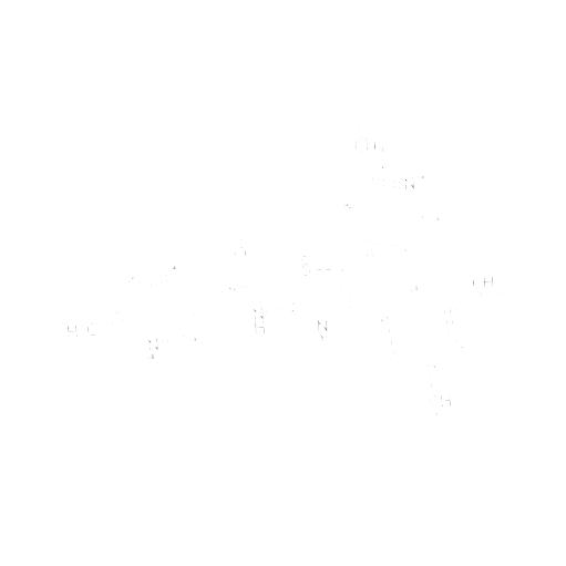 Cc1cc(C)cc(-c2nc(NC(=O)c3ccc(C)nc3)sc2-c2ccnc(C)c2)c1